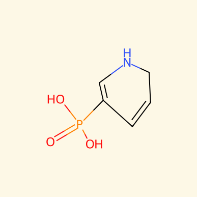 O=P(O)(O)C1=CNCC=C1